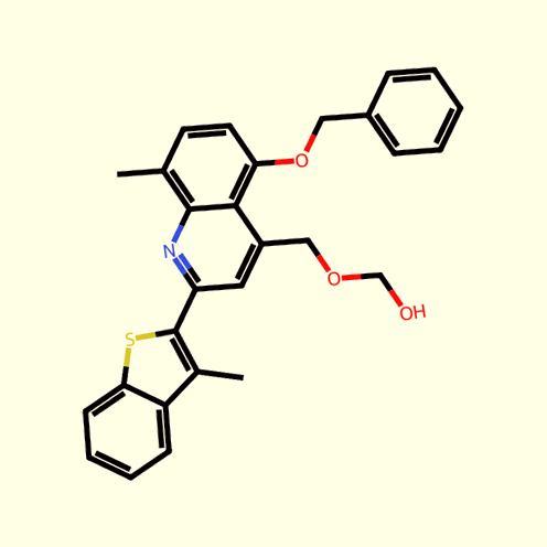 Cc1c(-c2cc(COCO)c3c(OCc4ccccc4)ccc(C)c3n2)sc2ccccc12